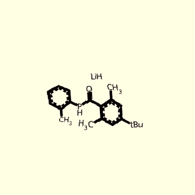 Cc1ccccc1PC(=O)c1c(C)cc(C(C)(C)C)cc1C.[LiH]